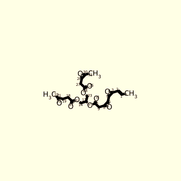 CC=CC1OC1C1OC1CC(=O)OC(COC(=O)CC1OC1C)COC(=O)CC1OC1C